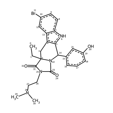 CCC12Cc3c([nH]c4ccc(Br)cc34)C(c3cccc(O)c3)N1C(=O)N(CCN(C)C)C2=O